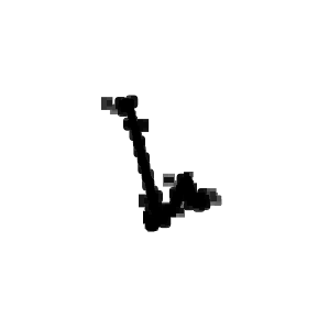 CC[C@@]1(O)C(=O)OCc2c1cc1n(c2=O)Cc2c-1nc1cc(F)c(C)c3c1c2[C@@H](NC(=O)[C@H]1C[C@H](OCNC(=O)CNC(=O)[C@H](Cc2ccccc2)NC(=O)CNC(=O)CNC(=O)COCCOCCOCCOCCOCCOCCOCCOCCNC(=O)CCCCCN2C(=O)CC(C)C2=O)C1)CC3